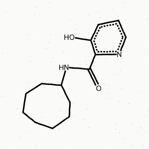 O=C(NC1CCCCCCC1)c1ncccc1O